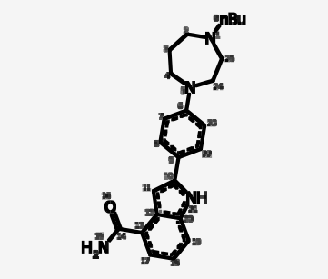 CCCCN1CCCN(c2ccc(-c3cc4c(C(N)=O)cccc4[nH]3)cc2)CC1